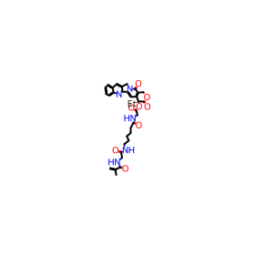 C=C(C)C(=O)NCC(=O)NCCCCCC(=O)NCC(=O)O[C@]1(CC)C(=O)OCc2c1cc1n(c2=O)Cc2cc3ccccc3nc2-1